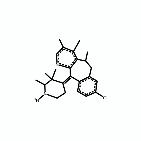 [2H]N1CC/C(=C2\c3ccc(Cl)cc3CC(C)c3c2ncc(C)c3C)C(C)(C)C1C